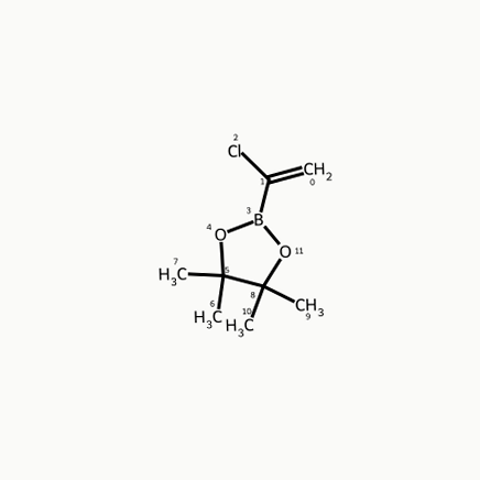 C=C(Cl)B1OC(C)(C)C(C)(C)O1